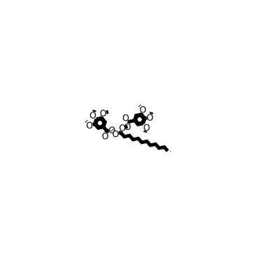 [CH2]CCCCCCCCCC[C](OOC(=O)c1cc(OC)c(OC)c(OC)c1)OOC(=O)c1cc(OC)c(OC)c(OC)c1